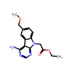 CCOC(=O)Cn1c2ccc(COC)cc2c2c(N)ncnc21